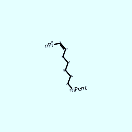 CCC/C=C\CCCCCCCCCC